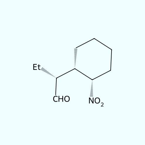 CC[C@@H](C=O)[C@@H]1CCCC[C@@H]1[N+](=O)[O-]